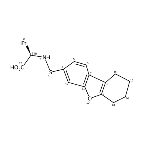 CC(C)[C@@H](NSc1ccc2c3c(oc2c1)CCCC3)C(=O)O